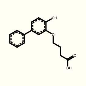 O=C(O)CCCOc1cc(-c2ccccc2)ccc1O